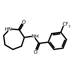 O=C(NC1CCCCNC1=O)c1cccc(C(F)(F)F)c1